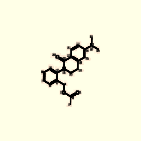 CC(=O)OCc1ccccc1N1CCc2cc(N(C)C)ccc2C1=O